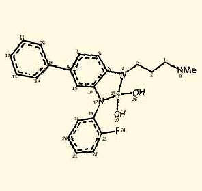 CNCCCN1c2ccc(-c3ccccc3)cc2N(c2ccccc2F)S1(O)O